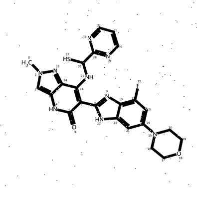 Cn1cc2[nH]c(=O)c(-c3nc4c(F)cc(N5CCOCC5)cc4[nH]3)c(NC(S)c3ncccn3)c2n1